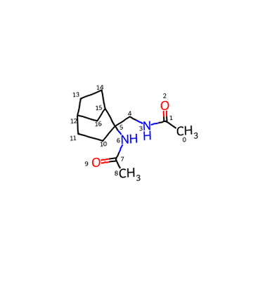 CC(=O)NCC1(NC(C)=O)CCC2CCC1C2